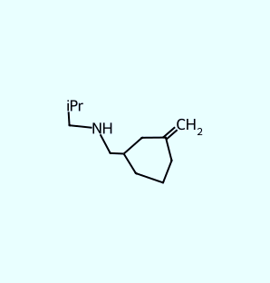 C=C1CCCC(CNCC(C)C)C1